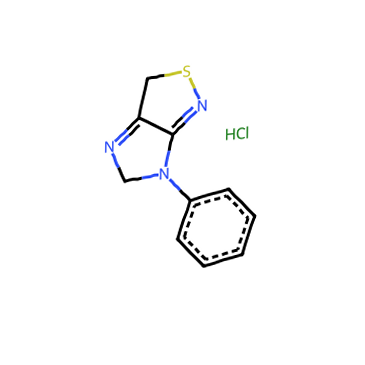 Cl.c1ccc(N2CN=C3CSN=C32)cc1